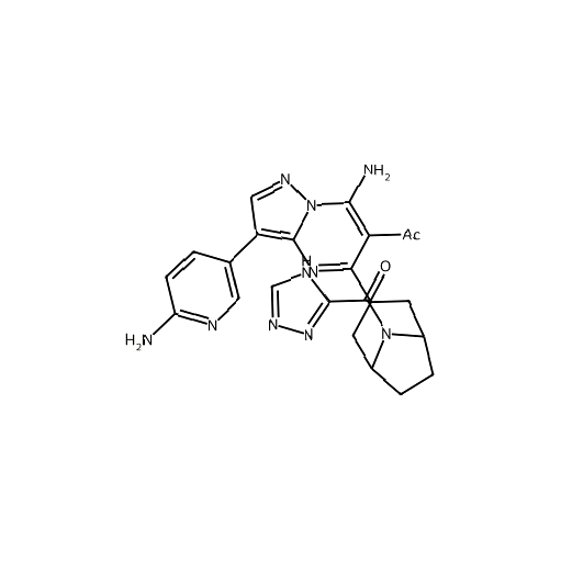 CC(=O)c1c(C2CC3CCC(C2)N3C(=O)c2nnc[nH]2)nc2c(-c3ccc(N)nc3)cnn2c1N